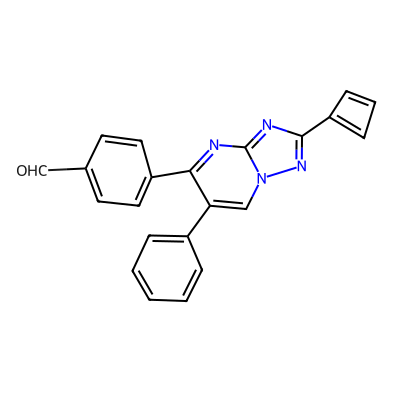 O=Cc1ccc(-c2nc3nc(C4=CC=C4)nn3cc2-c2ccccc2)cc1